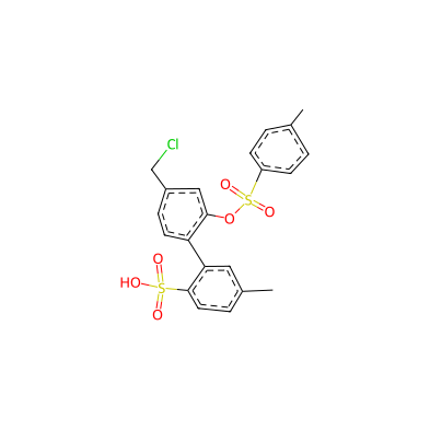 Cc1ccc(S(=O)(=O)Oc2cc(CCl)ccc2-c2cc(C)ccc2S(=O)(=O)O)cc1